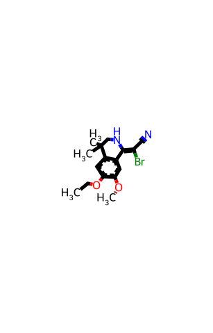 CCOc1cc2c(cc1OC)C(=C(Br)C#N)NCC2(C)C